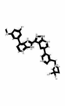 COc1cc(F)cc(-c2ccnc3[nH]c(-c4n[nH]c5ncc(-c6cncc(CN7CCC(F)(F)C7)c6)cc45)nc23)c1